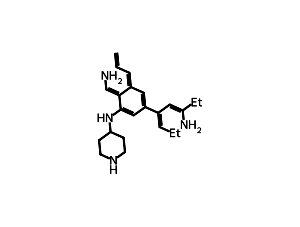 C=C/C=c1/cc(C(/C=C(\N)CC)=C/CC)cc(NC2CCNCC2)/c1=C/N